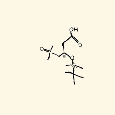 CC(C)(C)[Si](C)(C)O[C@H](CC(=O)O)CP(C)(C)=O